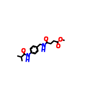 COC(=O)CCC(=O)NCc1ccc(NC(=O)C(C)C)cc1